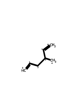 [CH]=CCC(C)C=C